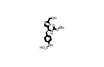 CC(C)(C)OC(=O)N[C@@H](Cc1ccc(NS(=O)(=O)O)cc1)c1csc(CO)n1